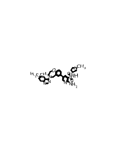 CN1CC[C@@H](NS(=O)(=O)c2cc(-c3ccc4c(c3)CN(c3ncnc5c3CC(C)(C)CC5)CCO4)cnc2N)C1